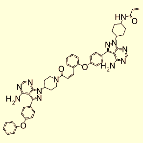 C=CC(=O)NC1CCC(n2nc(-c3ccc(Oc4ccccc4/C=C\C(=O)N4CCC(n5nc(-c6ccc(Oc7ccccc7)cc6)c6c(N)ncnc65)CC4)cc3)c3c(N)ncnc32)CC1